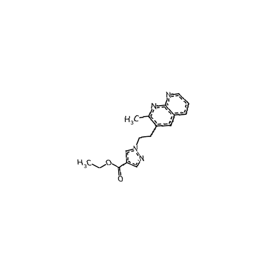 CCOC(=O)c1cnn(CCc2cc3cccnc3nc2C)c1